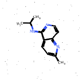 Cc1ccc2c(NC(C)C)nccc2n1